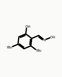 CC(C)(C)c1cc(O)c(C=NO)c(C(C)(C)C)c1